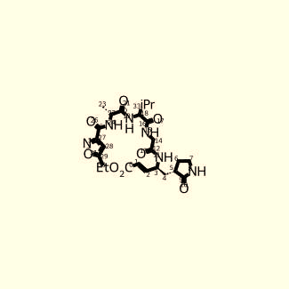 CCOC(=O)/C=C/[C@H](C[C@@H]1CCNC1=O)NC(=O)CNC(=O)C(NC(=O)[C@@H](C)NC(=O)c1cc(C)on1)C(C)C